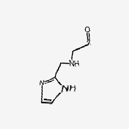 O=[C]CNCc1ncc[nH]1